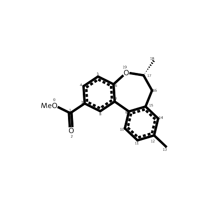 COC(=O)c1ccc2c(c1)-c1ccc(C)cc1C[C@@H](C)O2